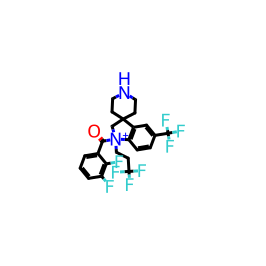 O=C(c1cccc(F)c1F)[N+]1(CCC(F)(F)F)CC2(CCNCC2)c2cc(C(F)(F)F)ccc21